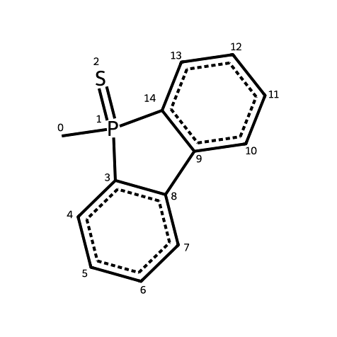 CP1(=S)c2ccccc2-c2ccccc21